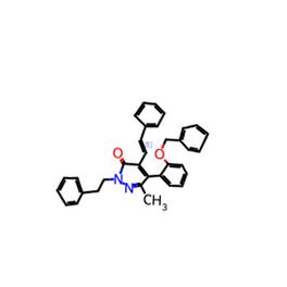 Cc1nn(CCc2ccccc2)c(=O)c(/C=C/c2ccccc2)c1-c1ccccc1OCc1ccccc1